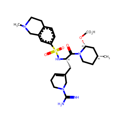 C[C@@H]1CCN(C(=O)[C@H](CC2=CCCN(C(=N)N)C2)NS(=O)(=O)c2ccc3c(c2)CN(C)CC3)[C@H](OC(=O)O)C1